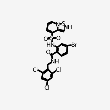 O=C(NCc1c(Cl)cc(Cl)cc1Cl)c1ccc(Br)cc1NS(=O)(=O)C1=CC=CN2SNC=C12